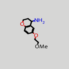 COCCOc1ccc2c(c1)C(N)CCO2